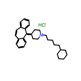 C1=Cc2ccccc2C(=C2CCN(CCCCCC3CCCCC3)CC2)c2ccccc21.Cl